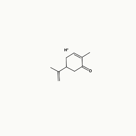 C=C(C)C1CC=C(C)C(=O)C1.[H+]